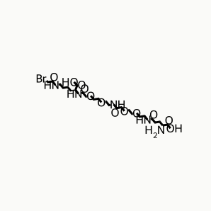 NC(CCC(=O)NCCOCCOCC(=O)NCCOCCOCC(=O)N[C@@H](CCCCNC(=O)CBr)C(=O)O)C(=O)O